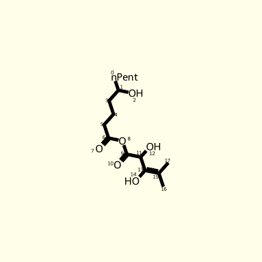 CCCCCC(O)CCCC(=O)OC(=O)C(O)C(O)=C(C)C